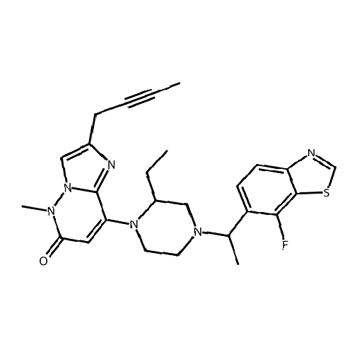 CC#CCc1cn2c(n1)c(N1CCN(C(C)c3ccc4ncsc4c3F)CC1CC)cc(=O)n2C